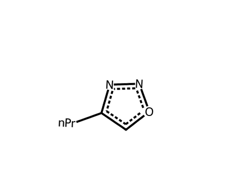 CCCc1conn1